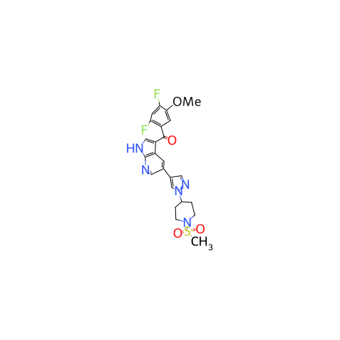 COc1cc(C(=O)c2c[nH]c3ncc(-c4cnn(C5CCN(S(C)(=O)=O)CC5)c4)cc23)c(F)cc1F